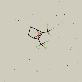 FC(F)(F)C1=C(C(F)(F)F)C2CCC1O2